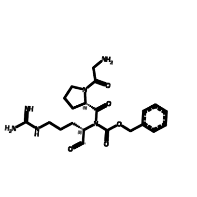 N=C(N)NCCC[C@@H]([C]=O)N(C(=O)OCc1ccccc1)C(=O)[C@@H]1CCCN1C(=O)CN